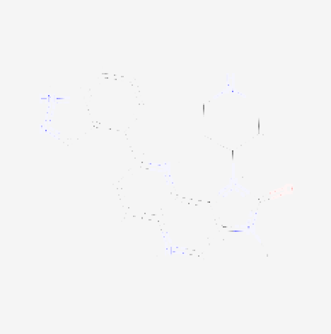 Cn1c(=O)n(C2CCNCC2)c2c3nc(-c4cccc5[nH]ncc45)ccc3ncc21